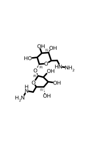 NNCC1O[C@H](O[C@H]2OC(CNN)[C@@H](O)C(O)C2O)C(O)C(O)[C@@H]1O